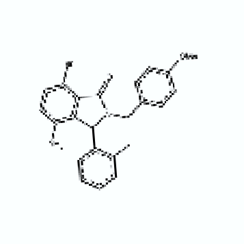 COc1ccc(CN2C(=O)c3c(Br)ccc(N)c3C2c2ccccc2C)cc1